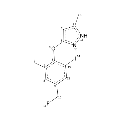 Cc1cc(Oc2c(C)cc(CF)cc2I)n[nH]1